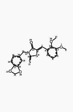 COc1cccc(C=C2SC(=S)N(Cc3ccc4c(c3)OCO4)C2=O)c1OC